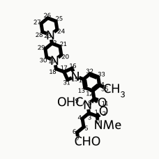 CNC(=O)C(CCCC=O)N(C=O)C(=O)c1cc(N2CC(CN3CCC(N4CCCCC4)CC3)C2)ccc1C